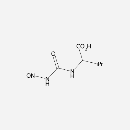 CC(C)C(NC(=O)NN=O)C(=O)O